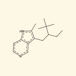 CCC(Cc1c(C)[nH]c2ccncc12)C(C)(C)C